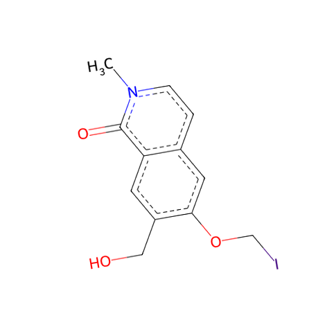 Cn1ccc2cc(OCI)c(CO)cc2c1=O